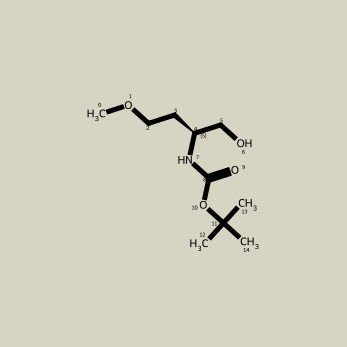 COCC[C@@H](CO)NC(=O)OC(C)(C)C